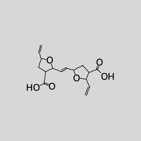 C=CC1CC(C(=O)O)C(C=CC2CC(C(=O)O)C(C=C)O2)O1